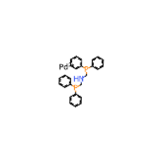 [Pd+2].c1ccc(P(CNCP(c2ccccc2)c2ccccc2)c2ccccc2)cc1